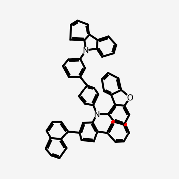 c1ccc(-c2ccc(-c3cccc4ccccc34)cc2N(c2ccc(-c3cccc(-n4c5ccccc5c5ccccc54)c3)cc2)c2cccc3oc4ccccc4c23)cc1